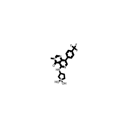 Cn1cnc2c(-c3ccc(C(F)(F)F)cc3)cnc(NC3CCS(O)(O)C3)c2c1=O